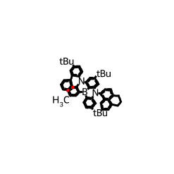 Cc1ccc2c(c1)B1c3ccc(C(C)(C)C)cc3N(c3ccc4c5c(cccc35)CCC4)c3cc(C(C)(C)C)cc(c31)N2c1ccc(C(C)(C)C)cc1-c1ccccc1